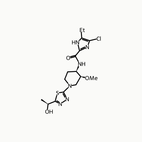 CCc1[nH]c(C(=O)N[C@@H]2CCN(c3nnc([C@H](C)O)s3)C[C@@H]2OC)nc1Cl